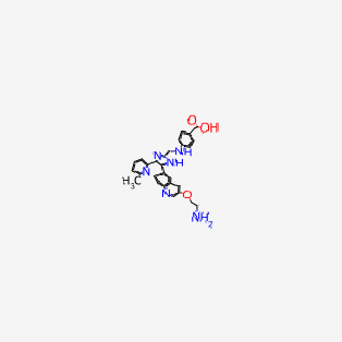 Cc1cccc(-c2nc(CNc3ccc(C(=O)O)cc3)[nH]c2-c2ccc3ncc(OCCN)cc3c2)n1